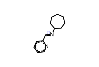 C(=N\C1CCCCCC1)/c1ccccn1